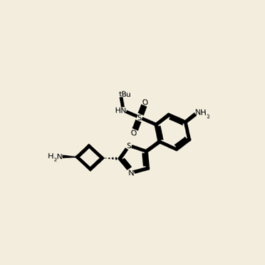 CC(C)(C)NS(=O)(=O)c1cc(N)ccc1-c1cnc([C@H]2C[C@H](N)C2)s1